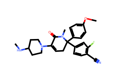 CNC1CCN(C2=CCC(c3ccc(OC)cc3)(c3ccc(C#N)c(F)c3)N(C)C2=O)CC1